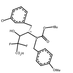 COc1ccc(CN(C(=O)OC(C)(C)C)[C@@H](Cc2cccc(Cl)c2)C(O)C(F)(F)C(=O)O)cc1